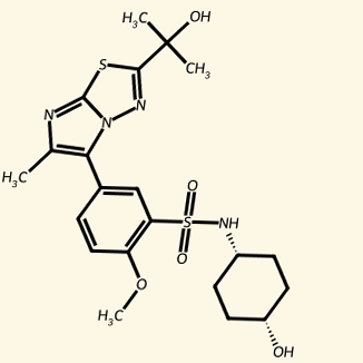 COc1ccc(-c2c(C)nc3sc(C(C)(C)O)nn23)cc1S(=O)(=O)N[C@H]1CC[C@@H](O)CC1